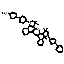 CC1(C)CN(c2ccc(-c3ccccc3)cc2)C2(C)C1=C1Oc3c4c(c5ccccc5c3C=C1c1ccccc12)N(c1ccc(-c2ccc(C(=O)O)cc2)cc1)CC4(C)C